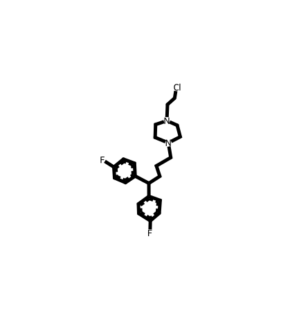 Fc1ccc(C(CCCN2CCN(CCCl)CC2)c2ccc(F)cc2)cc1